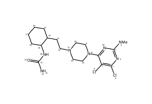 CNc1nc(Cl)c(Cl)c(N2CCN(CCC3CCCCC3NC(N)=O)CC2)n1